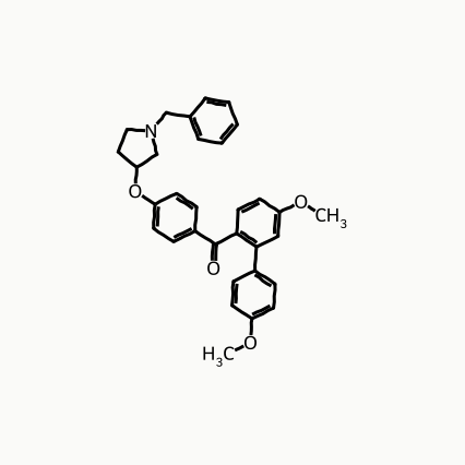 COc1ccc(-c2cc(OC)ccc2C(=O)c2ccc(OC3CCN(Cc4ccccc4)C3)cc2)cc1